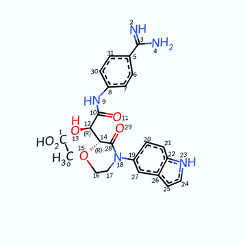 CC(=O)O.N=C(N)c1ccc(NC(=O)[C@H](O)[C@H]2OCCN(c3ccc4[nH]ccc4c3)C2=O)cc1